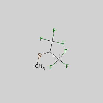 CSC(C(F)(F)F)C(F)(F)F